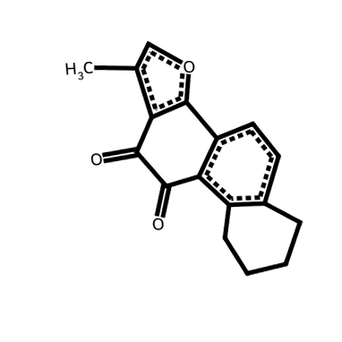 Cc1coc2c1C(=O)C(=O)c1c-2ccc2c1CCCC2